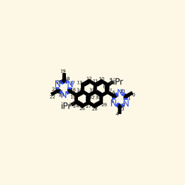 Cc1nc(C)nc(-c2c(C(C)C)cc3ccc4c(-c5nc(C)nc(C)n5)c(C(C)C)cc5ccc2c3c54)n1